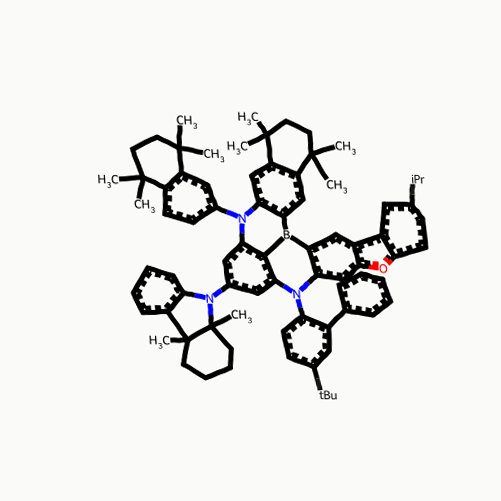 CC(C)c1ccc2oc3cc4c(cc3c2c1)B1c2cc3c(cc2N(c2ccc5c(c2)C(C)(C)CCC5(C)C)c2cc(N5c6ccccc6C6(C)CCCCC56C)cc(c21)N4c1ccc(C(C)(C)C)cc1-c1ccccc1)C(C)(C)CCC3(C)C